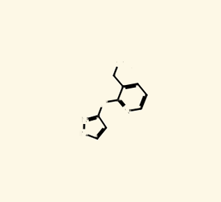 O=C(O)Cc1cccnc1Oc1cc[nH]n1